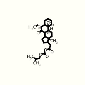 CC[C@H]1C(=O)C2C3CCC(CC(=O)OC(=O)OCC(C)C)C3(C)CC[C@@H]2C2(C)CCCCC12